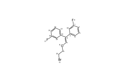 Fc1cccc(C(=COCCBr)c2cccc(F)c2)c1